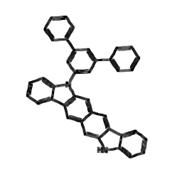 c1ccc(-c2cc(-c3ccccc3)cc(-n3c4ccccc4c4cc5cc6[nH]c7ccccc7c6cc5cc43)c2)cc1